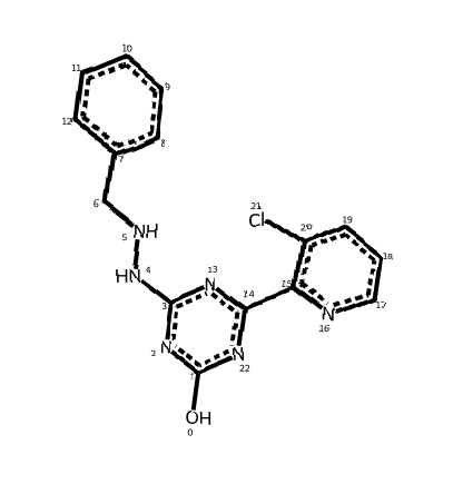 Oc1nc(NNCc2ccccc2)nc(-c2ncccc2Cl)n1